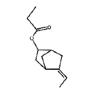 C/C=C1/CC2CC1CC2OC(=O)CC